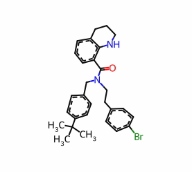 CC(C)(C)c1ccc(CN(CCc2ccc(Br)cc2)C(=O)c2cccc3c2NCCC3)cc1